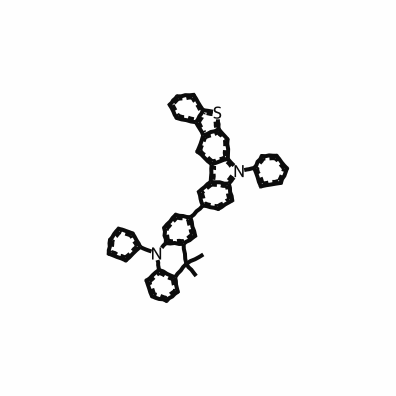 CC1(C)c2ccccc2N(c2ccccc2)c2ccc(-c3ccc4c(c3)c3cc5c(cc3n4-c3ccccc3)sc3ccccc35)cc21